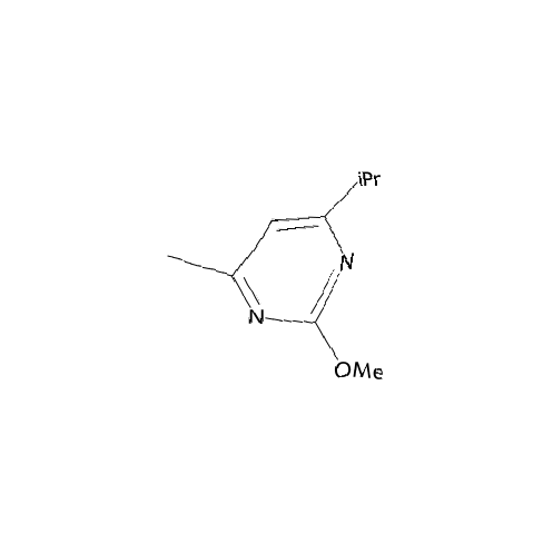 COc1nc(C)cc(C(C)C)n1